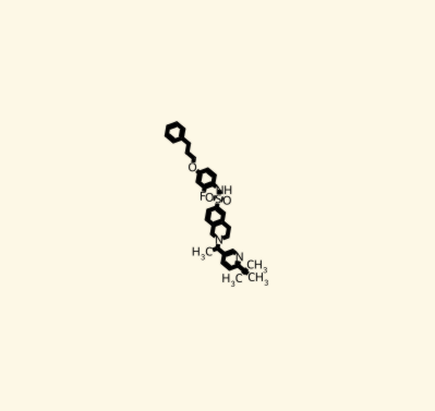 CC(c1ccc(C(C)(C)C)nc1)N1CCc2cc(S(=O)(=O)Nc3ccc(OCCCc4ccccc4)cc3F)ccc2C1